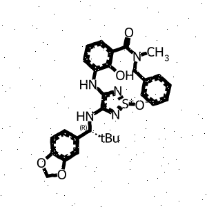 CN(Cc1ccccc1)C(=O)c1cccc(Nc2n[s+]([O-])nc2N[C@@H](c2ccc3c(c2)OCO3)C(C)(C)C)c1O